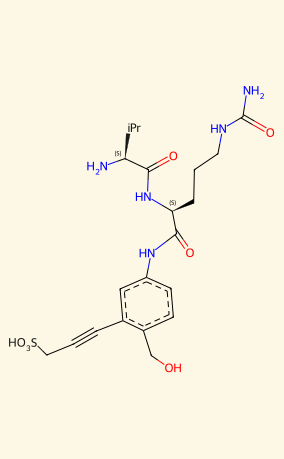 CC(C)[C@H](N)C(=O)N[C@@H](CCCNC(N)=O)C(=O)Nc1ccc(CO)c(C#CCS(=O)(=O)O)c1